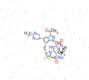 CC(=O)c1nn2c3c(cc(-c4cnc(C)nc4)cc13)CCCCCCC(=O)NC[C@@]13C[C@@H](C(O)Nc4nc(C(F)(F)F)ccc4C)N(C(=O)C2)[C@@H]1C3